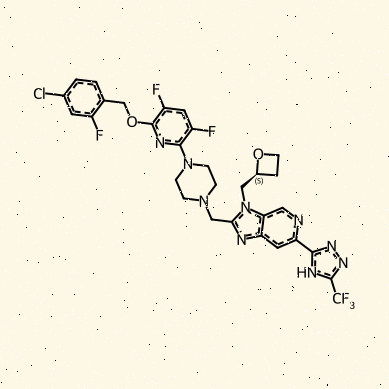 Fc1cc(Cl)ccc1COc1nc(N2CCN(Cc3nc4cc(-c5nnc(C(F)(F)F)[nH]5)ncc4n3C[C@@H]3CCO3)CC2)c(F)cc1F